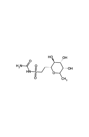 CC1O[C@H](CCS(=O)(=O)NC(N)=O)[C@@H](O)[C@H](O)[C@@H]1O